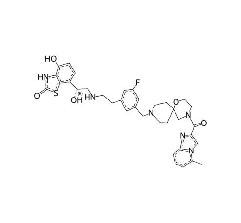 Cc1cccc2nc(C(=O)N3CCOC4(CCN(Cc5cc(F)cc(CCNC[C@H](O)c6ccc(O)c7[nH]c(=O)sc67)c5)CC4)C3)cn12